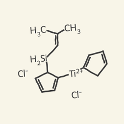 CC(C)=C[SiH2]C1C=CC=[C]1[Ti+2][C]1=CC=CC1.[Cl-].[Cl-]